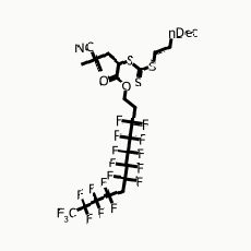 CCCCCCCCCCCCSC(=S)SC(CC(C)(C)C#N)C(=O)OCCC(F)(F)C(F)(F)C(F)(F)C(F)(F)C(F)(F)CC(F)(F)C(F)(F)C(F)(F)C(F)(F)F